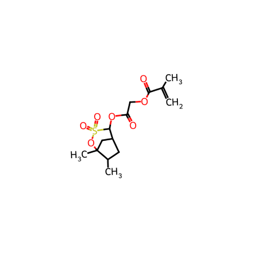 C=C(C)C(=O)OCC(=O)OC1C2CC(C)C(C)(C2)OS1(=O)=O